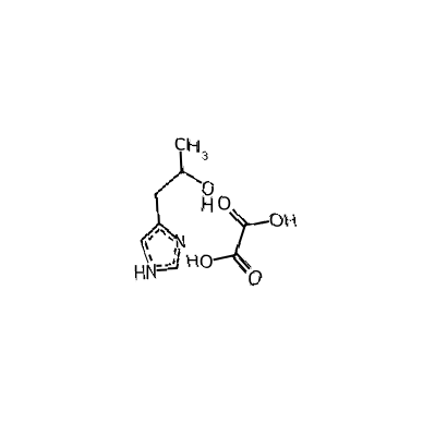 CC(O)Cc1c[nH]cn1.O=C(O)C(=O)O